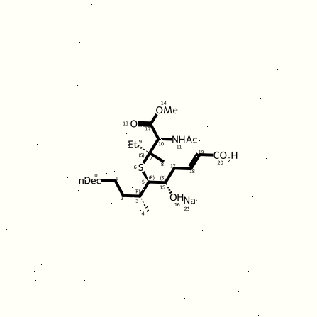 CCCCCCCCCCCC[C@@H](C)[C@@H](S[C@@](C)(CC)C(NC(C)=O)C(=O)OC)[C@@H](O)CC=CC(=O)O.[Na]